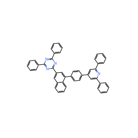 c1ccc(-c2cc(-c3ccc(-c4cc(-c5nc(-c6ccccc6)nc(-c6ccccc6)n5)cc5ccccc45)cc3)cc(-c3ccccc3)n2)cc1